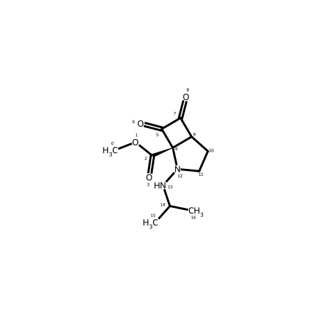 COC(=O)[C@@]12C(=O)C(=O)C1CCN2NC(C)C